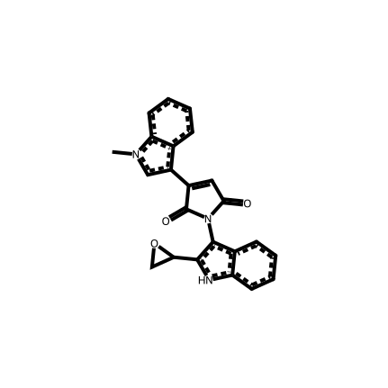 Cn1cc(C2=CC(=O)N(c3c(C4CO4)[nH]c4ccccc34)C2=O)c2ccccc21